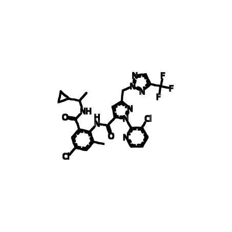 Cc1cc(Cl)cc(C(=O)NC(C)C2CC2)c1NC(=O)c1cc(Cn2ncc(C(F)(F)F)n2)nn1-c1ncccc1Cl